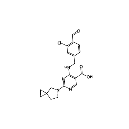 O=Cc1ccc(CNc2nc(N3CCC4(CC4)C3)ncc2C(=O)O)cc1Cl